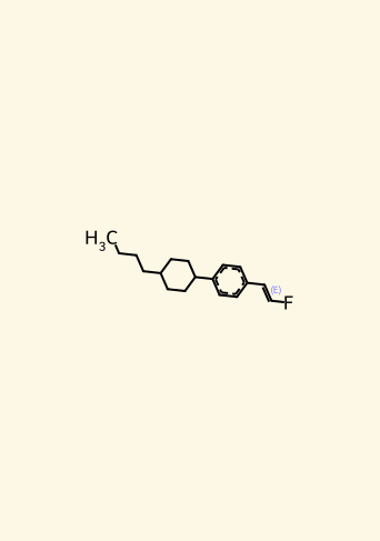 CCCCC1CCC(c2ccc(/C=C/F)cc2)CC1